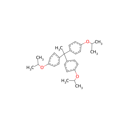 CC(C)Oc1ccc(C(C)(c2ccc(OC(C)C)cc2)c2ccc(OC(C)C)cc2)cc1